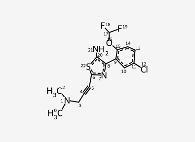 CN(C)CC#Cc1nc(-c2cc(Cl)ccc2OC(F)F)c(N)s1